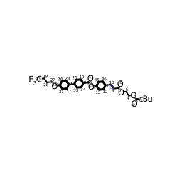 CC(C)(C)C(=O)OCCOC(=O)/C=C/c1ccc(OC(=O)c2ccc(-c3ccc(OCCCC(F)(F)F)cc3)cc2)cc1